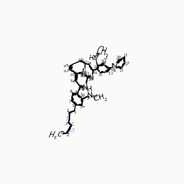 C/C=C\C=C/Cc1ccc(C2=NC3=NC(c4ccc(-n5cccc5)cc4NC)=CC4=CC=CC(=C2)N43)c(NC)c1